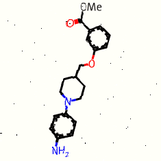 COC(=O)c1cccc(OCC2CCN(c3ccc(N)cc3)CC2)c1